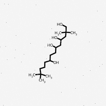 CC(C)(C)CCCC(O)CCC(O)CC(O)CC(C)(C)CO